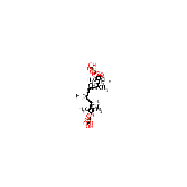 CC(C=CC=C(C)C=CC1=C(C)CC(OC(=O)C[S+]([O-])C(=O)C(=O)O)CC1(C)C)=CC=CC=C(C)C=CC=C(C)C=CC1=C(C)C(=O)C(OC(=O)C[S+]([O-])CC(=O)O)CC1(C)C